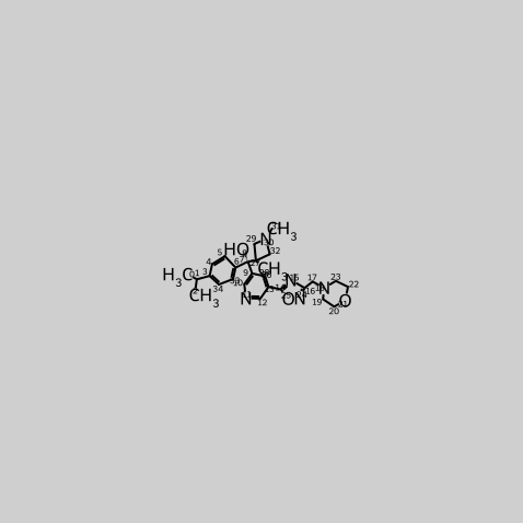 CC(C)c1ccc([C@](O)(c2cncc(-c3nc(CN4CCOCC4)no3)c2)C2(C)CN(C)C2)cc1